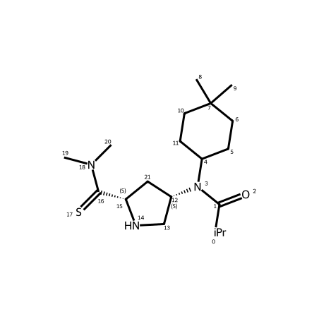 CC(C)C(=O)N(C1CCC(C)(C)CC1)[C@@H]1CN[C@H](C(=S)N(C)C)C1